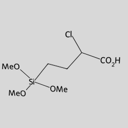 CO[Si](CCC(Cl)C(=O)O)(OC)OC